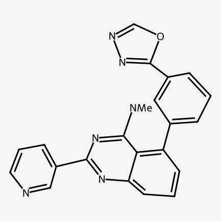 CNc1nc(-c2cccnc2)nc2cccc(-c3cccc(-c4nnco4)c3)c12